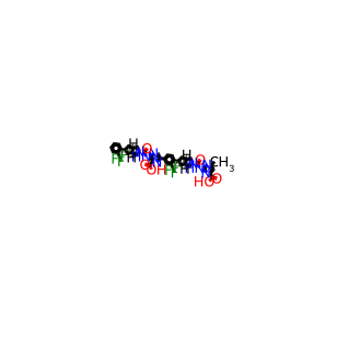 Cc1cc(C(=O)O)nc(NC(=O)N2C[C@H]3C[C@@H](c4ccc(-c5cnc(NC(=O)N6C[C@H]7C[C@@H](c8ccccc8C(F)(F)F)C[C@H]7C6)c(C(=O)O)n5)cc4C(F)(F)F)C[C@H]3C2)n1